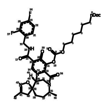 CCCCCCCCCCCCCCCCOC(=O)Oc1c2n(cc(C(=O)NCc3ccc(F)cc3F)c1=O)[C@@H]1CN(C2=O)[C@@H](C)CC[C@]12CC(C)=NO2